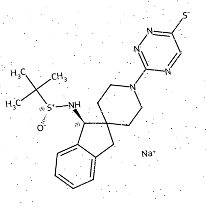 CC(C)(C)[S@@+]([O-])N[C@@H]1c2ccccc2CC12CCN(c1ncc([S-])nn1)CC2.[Na+]